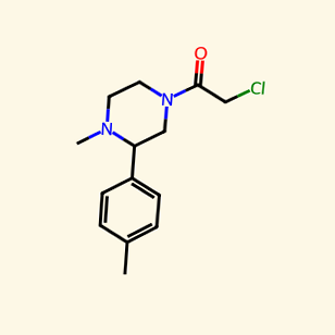 Cc1ccc(C2CN(C(=O)CCl)CCN2C)cc1